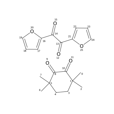 CC1(C)CCC(C)(C)C(=O)C1=O.O=C(C(=O)c1ccco1)c1ccco1